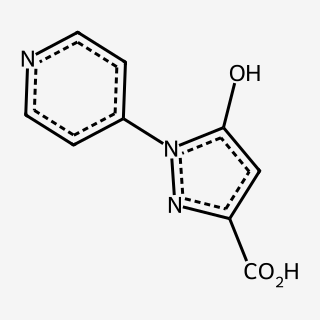 O=C(O)c1cc(O)n(-c2ccncc2)n1